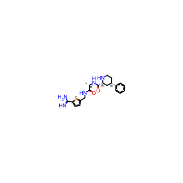 C[C@H](NC(=O)[C@H]1C[C@@H](c2ccccc2)CCN1)C(=O)NCc1ccc(C(=N)N)s1